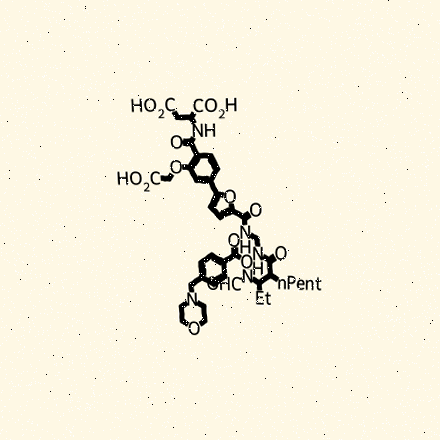 CCCCCC(C(=O)NCNC(=O)c1ccc(-c2ccc(C(=O)NC(CC(=O)O)C(=O)O)c(OCC(=O)O)c2)o1)C(CC)N(C=O)OC(=O)c1ccc(CN2CCOCC2)cc1